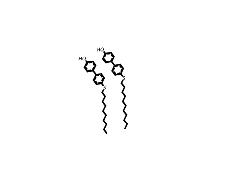 CCCCCCCCCCCSc1ccc(-c2ccc(O)cc2)cc1.CCCCCCCCCCSc1ccc(-c2ccc(O)cc2)cc1